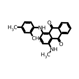 CNc1ccc(Nc2ccc(C)cc2C)c2c1C(=O)c1ccccc1C2=O